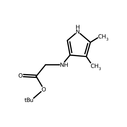 Cc1[nH]cc(NCC(=O)OC(C)(C)C)c1C